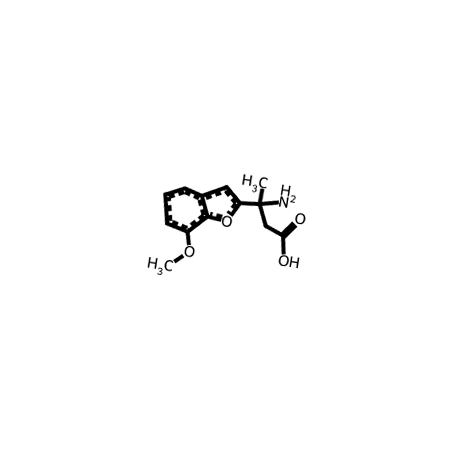 COc1cccc2cc(C(C)(N)CC(=O)O)oc12